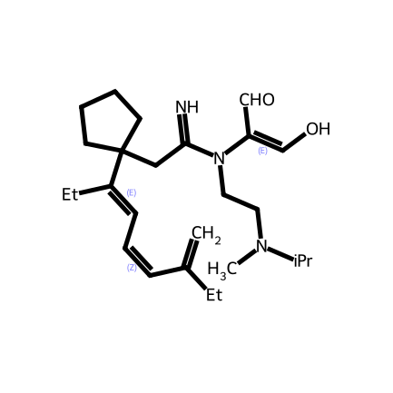 C=C(/C=C\C=C(/CC)C1(CC(=N)N(CCN(C)C(C)C)/C(C=O)=C/O)CCCC1)CC